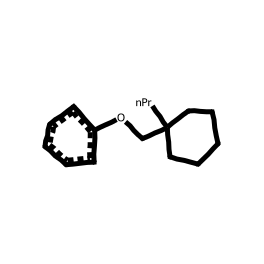 CCCC1(COc2ccccc2)CCCCC1